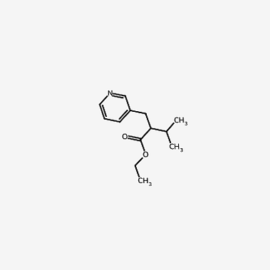 CCOC(=O)C(Cc1cccnc1)C(C)C